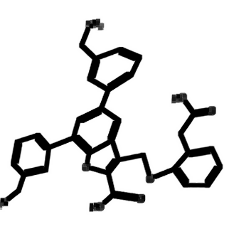 NCc1cccc(-c2cc(-c3cccc(CN)c3)c3oc(C(=O)O)c(COc4ccccc4CC(=O)O)c3c2)c1